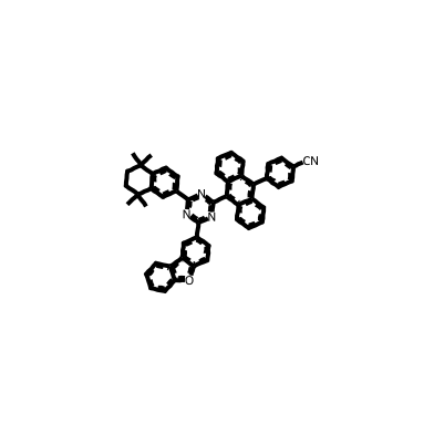 CC1(C)CCC(C)(C)c2cc(-c3nc(-c4ccc5oc6ccccc6c5c4)nc(-c4c5ccccc5c(-c5ccc(C#N)cc5)c5ccccc45)n3)ccc21